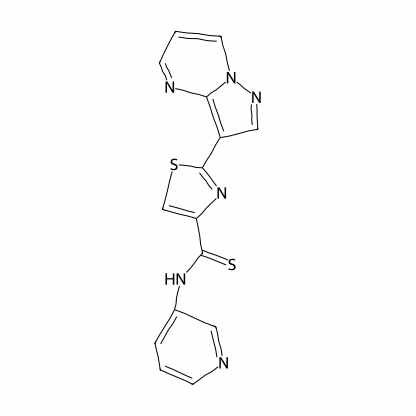 S=C(Nc1cccnc1)c1csc(-c2cnn3cccnc23)n1